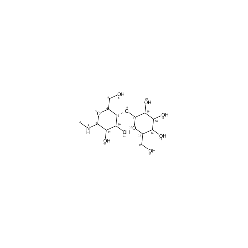 CNC1OC(CO)[C@H](OC2OC(CO)C(O)C(O)C2O)C(O)C1O